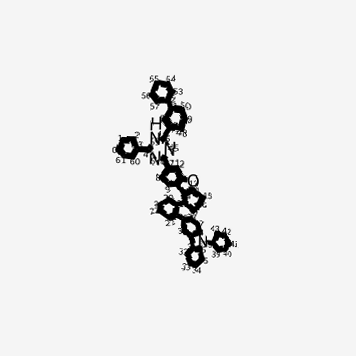 c1ccc(C2=NC(c3ccc4c(c3)oc3cccc(-c5ccccc5-c5ccc6c(c5)c5ccccc5n6-c5ccccc5)c34)=NC(c3cccc(-c4ccccc4)c3)N2)cc1